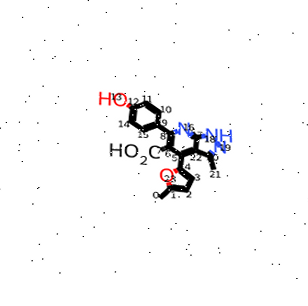 Cc1ccc(-c2c(C(=O)O)c(-c3ccc(O)cc3)nc3[nH]nc(C)c23)o1